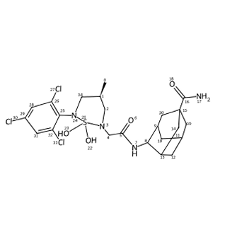 C[C@H]1CN(CC(=O)NC2C3CC4CC2CC(C(N)=O)(C4)C3)S(O)(O)N(c2c(Cl)cc(Cl)cc2Cl)C1